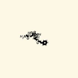 CC(CNC(=O)CCc1ccccc1)CP(=O)(O)OC(COC(=O)CN)C(=O)O